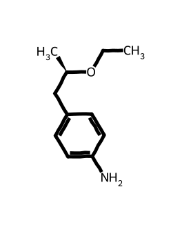 CCO[C@H](C)Cc1ccc(N)cc1